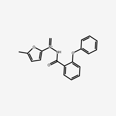 C=[N+](NC(=O)c1ccccc1Oc1ccccc1)c1ccc(C)o1